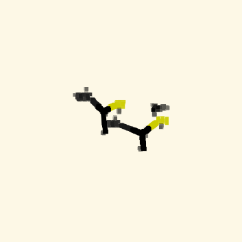 CC(S)C(=O)[O-].CC(S)C(=O)[O-].[Zn+2]